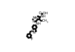 CCc1c(NC(=O)O)cn2ncnc(Nc3ccc4c(cnn4Cc4cccc(F)c4)c3)c12